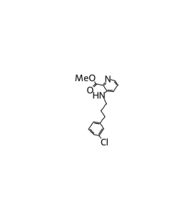 COC(=O)c1ncccc1NCCCc1cccc(Cl)c1